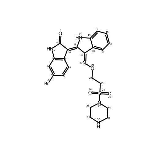 O=C1Nc2cc(Br)ccc2/C1=C1/Nc2ccccc2/C1=N\OCCS(=O)(=O)N1CCNCC1